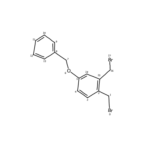 BrCc1ccc(OCc2ccccc2)cc1CBr